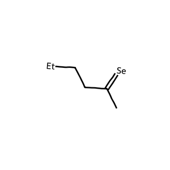 CCCCC(C)=[Se]